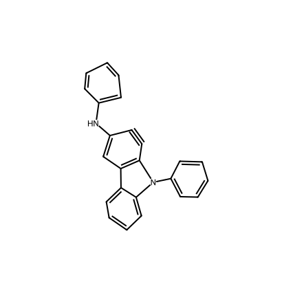 c1c(Nc2ccccc2)cc2c3ccccc3n(-c3ccccc3)c2c#1